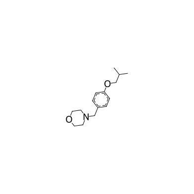 CC(C)COc1ccc(CN2CCOCC2)cc1